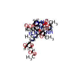 CC(=O)O.COC(=O)C[C@@H]1C[C@@]2(CO2)C[C@@H](/C=C/C(C)=C/C[C@@H]2O[C@H](C)[C@H](NC(=O)/C=C\[C@H](C)OC(=O)CCc3ccccc3N(C(=O)[C@@H](N)C(C)C)[C@@H](C)C(N)=O)C[C@@H]2C)O1